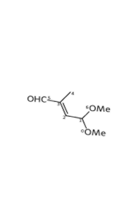 COC(/C=C(\C)C=O)OC